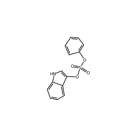 O=S(=O)(Oc1ccccc1)Oc1c[nH]c2ccccc12